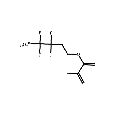 C=C(C)C(=C)OCCC(F)(F)C(F)(F)S(=O)(=O)O